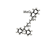 COc1cc(NCCCNCC(c2ccccc2)c2ccccc2)nc2ccccc12